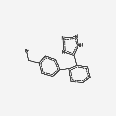 BrCc1ccc(-c2ccccc2-c2nnn[nH]2)cc1